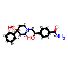 NC(=O)c1ccc(C(O)CN2CCC(O)(c3ccccc3)CC2)cc1